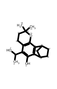 CC(O)c1c(O)c2c(c3c1CCC(C)(C)O3)C1CCC2C1